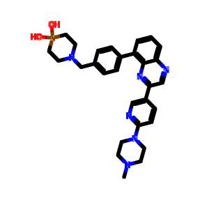 CN1CCN(c2ccc(-c3cnc4cccc(-c5ccc(CN6CCS(O)(O)CC6)cc5)c4n3)cn2)CC1